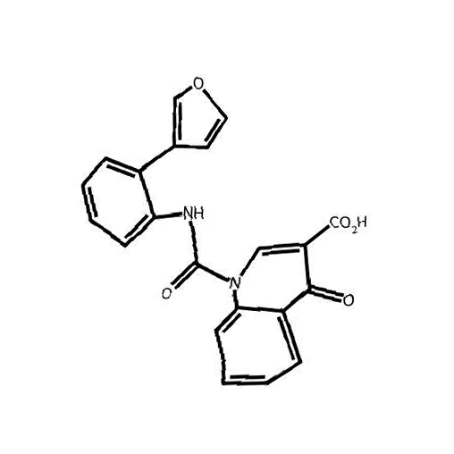 O=C(O)c1cn(C(=O)Nc2ccccc2-c2ccoc2)c2ccccc2c1=O